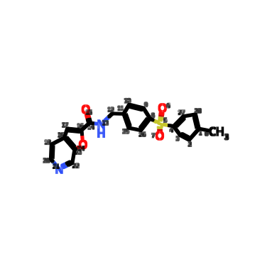 Cc1ccc(S(=O)(=O)c2ccc(CNC(=O)c3cc4ccncc4o3)cc2)cc1